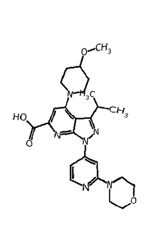 COC1CCN(c2cc(C(=O)O)nc3c2c(C(C)C)nn3-c2ccnc(N3CCOCC3)c2)CC1